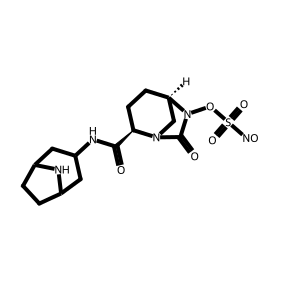 O=NS(=O)(=O)ON1C(=O)N2C[C@H]1CC[C@@H]2C(=O)NC1CC2CCC(C1)N2